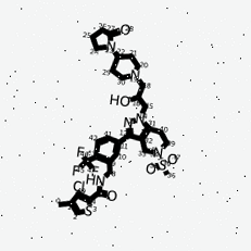 Cc1csc(C(=O)NCc2cc(-c3nn(CC(O)CN4CCC(N5CCCC5=O)CC4)c4c3CN(S(C)(=O)=O)CC4)ccc2C(F)(F)F)c1Cl